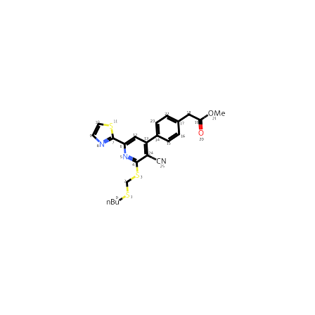 CCCCSCSc1nc(-c2nccs2)cc(-c2ccc(CC(=O)OC)cc2)c1C#N